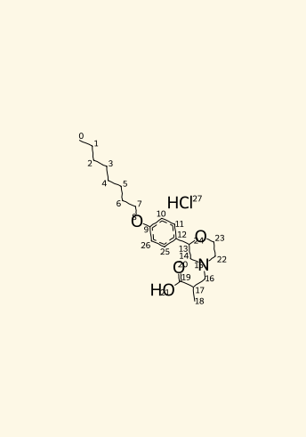 CCCCCCCCOc1ccc(C2CN(CC(C)C(=O)O)CCO2)cc1.Cl